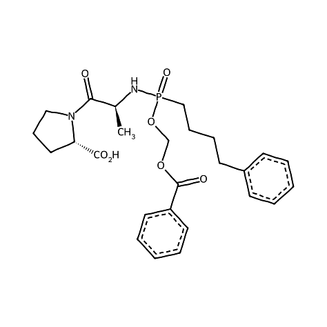 C[C@H](NP(=O)(CCCCc1ccccc1)OCOC(=O)c1ccccc1)C(=O)N1CCC[C@H]1C(=O)O